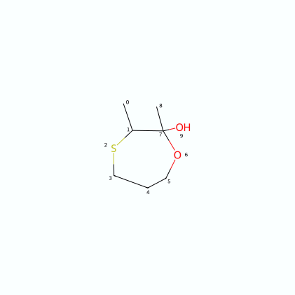 CC1SCCCOC1(C)O